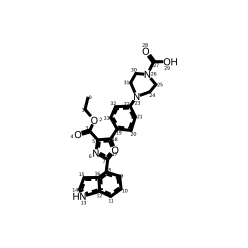 CCOC(=O)c1nc(-c2cccc3[nH]ccc23)oc1-c1ccc(N2CCN(C(=O)O)CC2)cc1